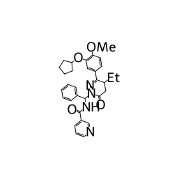 CCC1CC(=O)N(C(NC(=O)c2cccnc2)c2ccccc2)N=C1c1ccc(OC)c(OC2CCCC2)c1